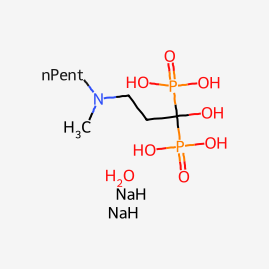 CCCCCN(C)CCC(O)(P(=O)(O)O)P(=O)(O)O.O.[NaH].[NaH]